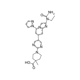 CCN(C(N)=O)c1cn2c(-n3cccn3)cc(-c3cnc(N4CCC(C)(C(=O)O)CC4)nc3)cc2n1